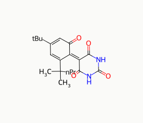 CCCC(C)(C)C1=CC(C(C)(C)C)=CC(=O)C1=C1C(=O)NC(=O)NC1=O